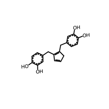 Oc1ccc(CC2=C(Cc3ccc(O)c(O)c3)CC=C2)cc1O